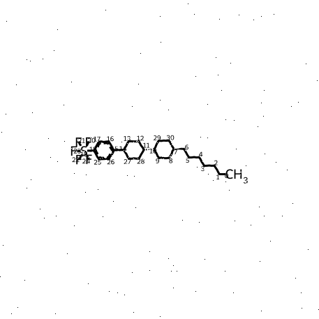 CCCCCCC[C@H]1CC[C@H](C2CCC(c3ccc(S(F)(F)(F)(F)F)cc3)CC2)CC1